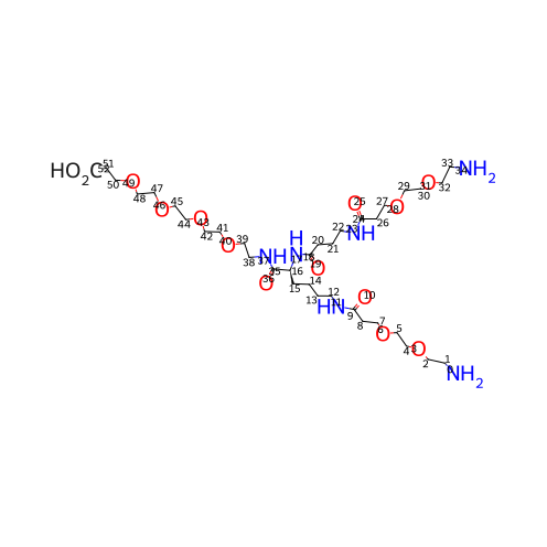 NCCOCCOCCC(=O)NCCCC[C@H](NC(=O)CCCNC(=O)CCOCCOCCN)C(=O)NCCOCCOCCOCCOCCC(=O)O